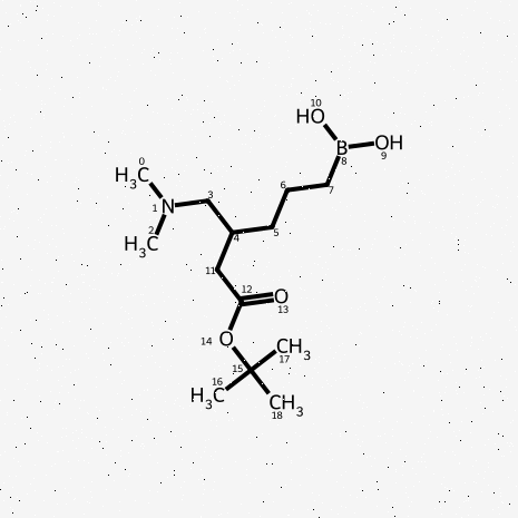 CN(C)CC(CCCB(O)O)CC(=O)OC(C)(C)C